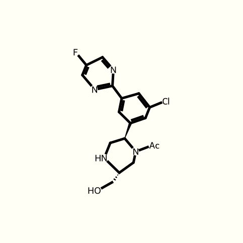 CC(=O)N1C[C@H](CO)NC[C@H]1c1cc(Cl)cc(-c2ncc(F)cn2)c1